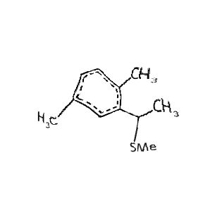 CSC(C)c1cc(C)ccc1C